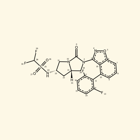 O=C1N(c2noc3cccc(-c4c(F)cccc4F)c23)C[C@@H]2C[C@H](NS(=O)(=O)C(F)F)CN12